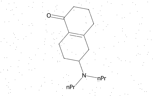 CCCN(CCC)C1CCC2=C(CCCC2=O)C1